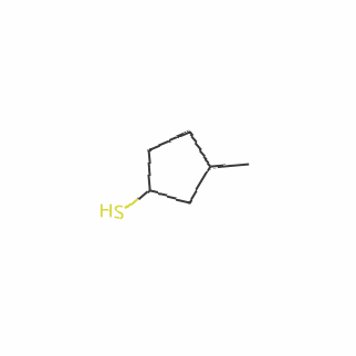 CC1CCC(S)C1